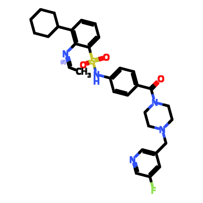 C/C=N\c1c(C2CCCCC2)cccc1S(=O)(=O)Nc1ccc(C(=O)N2CCN(Cc3cncc(F)c3)CC2)cc1